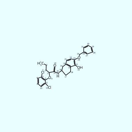 CCCC(Oc1c(Cl)cccc1Cl)C(=O)NC1CCc2c(ccc(OCc3ccccc3)c2O)C1